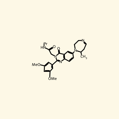 COc1cc(OC)cc(-c2nc3ccc(N4CCN=CCC4C)cc3c(=O)n2CC(=O)NC(C)C)c1